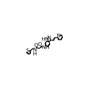 O=C(CC(=O)Nc1ccc2c(/C=C/c3ccccn3)n[nH]c2c1)NCc1cccs1